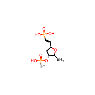 B[C@@H]1O[C@H](/C=C/P(=O)(O)O)C[C@H]1OP(=O)(O)C(C)C